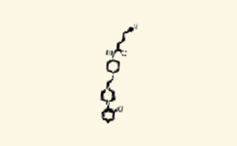 N#CCCCC(=O)N[C@H]1CC[C@H](CCN2CCN(c3ccccc3Cl)CC2)CC1